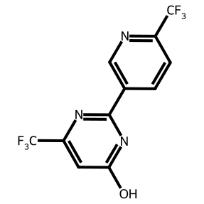 Oc1cc(C(F)(F)F)nc(-c2ccc(C(F)(F)F)nc2)n1